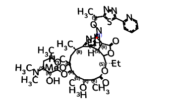 CC[C@@H]1OC(=O)[C@H](C)[C@H](O)[C@H](C)[C@@H](OC2O[C@H](C)C[C@H](N(C)C)[C@H]2O)[C@](C)(OC)C[C@@H](C)C2=N/C(=N\O[C@@H](C)c3nnc(-c4ccccn4)s3)[C@@H]3C(=O)OC1[C@H]3[C@H]2CC